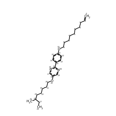 C=CCCCCCCCCOc1ccc(-c2ncc(OCCCCCC(C)CC)cn2)cc1